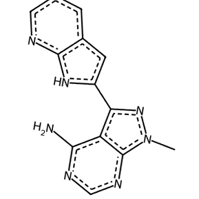 Cn1nc(-c2cc3cccnc3[nH]2)c2c(N)ncnc21